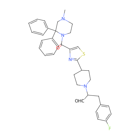 CN1CCN(C(=O)c2csc(C3CCN(C(C=O)Cc4ccc(F)cc4)CC3)n2)C(c2ccccc2)(c2ccccc2)C1